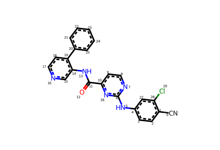 N#Cc1ccc(Nc2nccc(C(=O)Nc3cnccc3-c3ccccc3)n2)cc1Cl